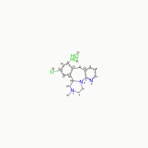 CN1CCN2c3ncccc3Cc3ccc(Cl)cc3C2C1.Cl.Cl